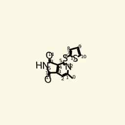 Cc1cc2c(c(Sc3cccs3)n1)C(=O)NC2=O